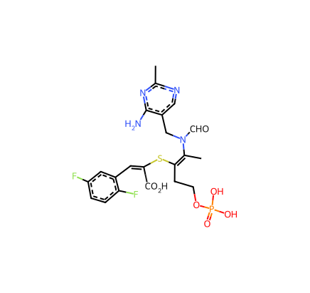 C/C(=C(\CCOP(=O)(O)O)S/C(=C/c1cc(F)ccc1F)C(=O)O)N(C=O)Cc1cnc(C)nc1N